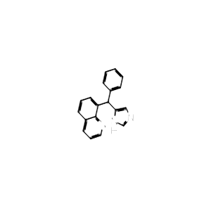 c1ccc(C(c2cnc[nH]2)c2cccc3cccnc23)cc1